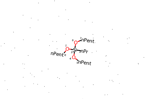 CCCCCO[Si](CCC)(OCCCCC)OCCCCC